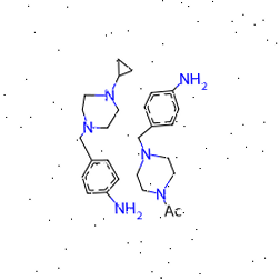 CC(=O)N1CCN(Cc2ccc(N)cc2)CC1.Nc1ccc(CN2CCN(C3CC3)CC2)cc1